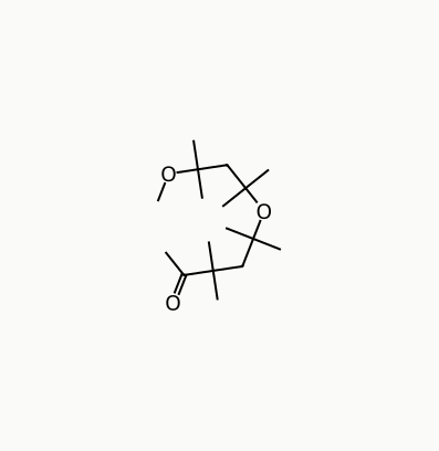 COC(C)(C)CC(C)(C)OC(C)(C)CC(C)(C)C(C)=O